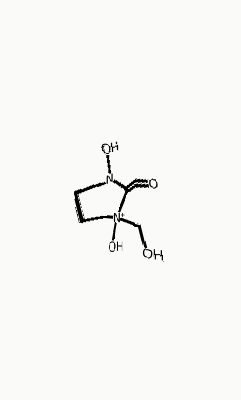 O=C1N(O)CC[N+]1(O)CO